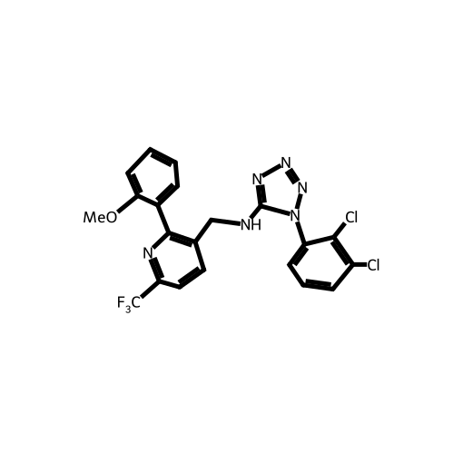 COc1ccccc1-c1nc(C(F)(F)F)ccc1CNc1nnnn1-c1cccc(Cl)c1Cl